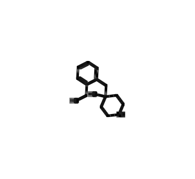 OCc1ccccc1CC1(O)CCNCC1